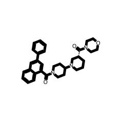 O=C(c1cc(-c2ccccc2)cc2ccccc12)N1CCC(N2CCC[C@@H](C(=O)N3CCOCC3)C2)CC1